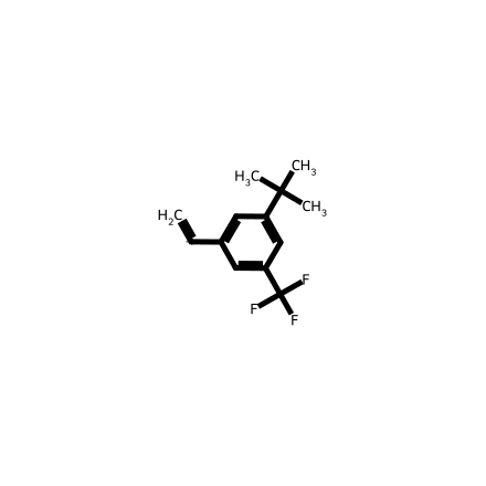 C=[C]c1cc(C(C)(C)C)cc(C(F)(F)F)c1